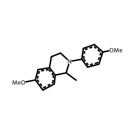 COc1ccc(N2CCc3cc(OC)ccc3C2C)cc1